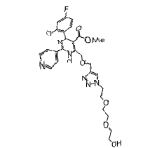 COC(=O)C1=C(COCc2cn(CCOCCOCCO)nn2)NC(c2ccncc2)=NC1c1ccc(F)cc1Cl